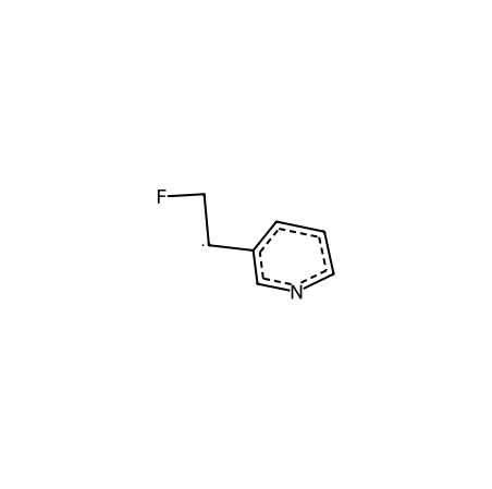 FC[CH]c1cccnc1